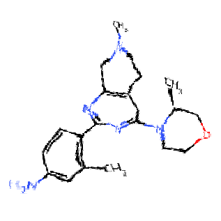 Cc1cc(N)ccc1-c1nc2c(c(N3CCOC[C@@H]3C)n1)CCN(C)C2